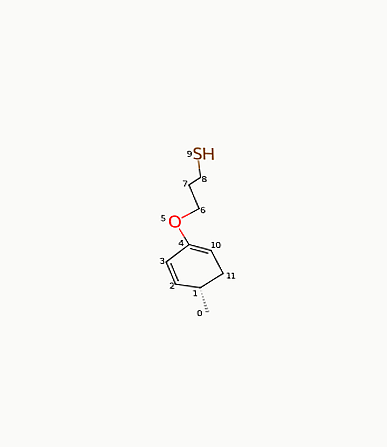 C[C@@H]1C=CC(OCCCS)=CC1